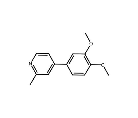 COc1ccc(-c2ccnc(C)c2)cc1OC